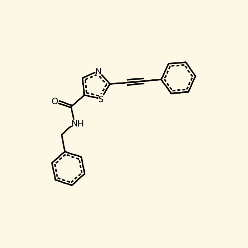 O=C(NCc1ccccc1)c1cnc(C#Cc2ccccc2)s1